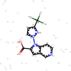 O=C(O)c1cc2cnccc2n1-n1ccc(C(F)(F)F)n1